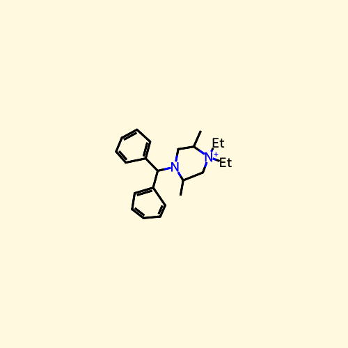 CC[N+]1(CC)CC(C)N(C(c2ccccc2)c2ccccc2)CC1C